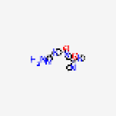 Nc1cc(CN2CCC(C(=O)N3CCC(/C(=C\C(=O)N4CCCC4)c4ccccn4)CC3)CC2)ccn1